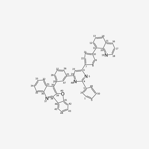 c1ccc(-c2nc(-c3ccc(-c4cccc5cccnc45)cc3)cc(-c3cccc(-c4c5ccccc5nc5c4oc4ccccc45)c3)n2)cc1